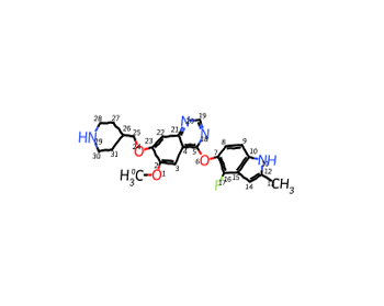 COc1cc2c(Oc3ccc4[nH]c(C)cc4c3F)ncnc2cc1OCC1CCNCC1